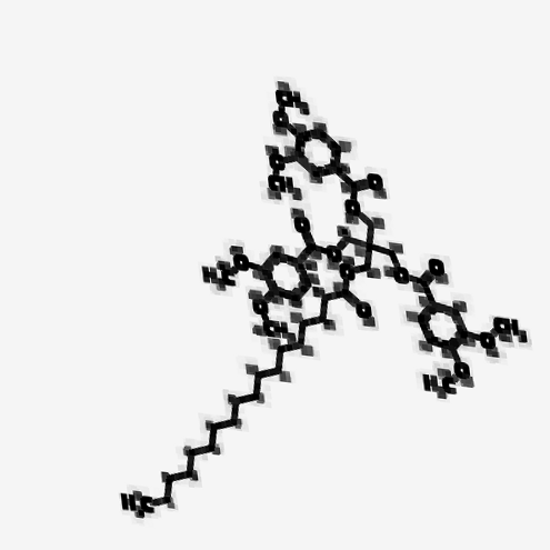 CCCCCCCCCCCCCCCCCC(=O)OCC(COC(=O)c1ccc(OC)c(OC)c1)(COC(=O)c1ccc(OC)c(OC)c1)COC(=O)c1ccc(OC)c(OC)c1